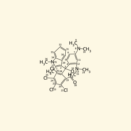 Cc1c(C2(c3ccc(N(C)C)cc3N(C)C)OC(=O)c3c(Cl)c(Cl)c(Cl)c(Cl)c32)c2ccccc2n1C